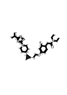 CCN(CC)C(=O)CC1C=CC(OCC[C@@H]2C[C@@H]2C2CCN(c3nc(C(C)C)no3)CC2)=CC1F